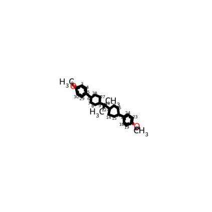 COc1ccc(C2CCC(C(C)(C)C3CCC(c4ccc(OC)cc4)CC3)CC2)cc1